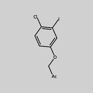 CC(=O)COc1ccc(Cl)c(I)c1